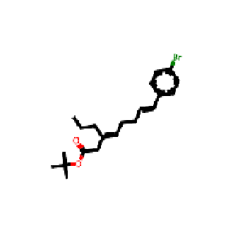 CCC/C(=C\CC/C=C/c1ccc(Br)cc1)CC(=O)OC(C)(C)C